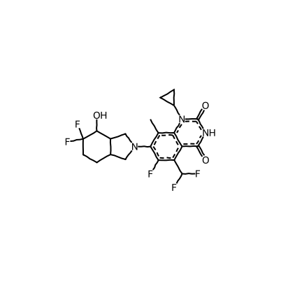 Cc1c(N2CC3CCC(F)(F)C(O)C3C2)c(F)c(C(F)F)c2c(=O)[nH]c(=O)n(C3CC3)c12